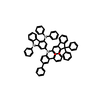 c1ccc(-c2ccc(N(c3ccc4c(c3)-c3ccccc3C4(c3ccccc3)c3ccccc3)c3cc(N(c4ccccc4)c4ccccc4)c4c5ccccc5n(-c5ccccc5)c4c3)c(-c3ccccc3)c2)cc1